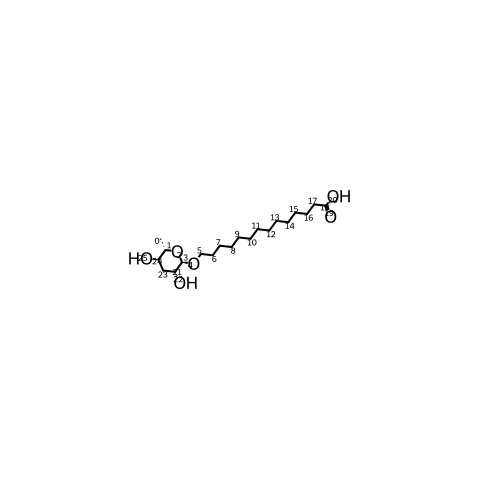 C[C@@H]1O[C@@H](OCCCCCCCCCCCCCC(=O)O)[C@H](O)C[C@H]1O